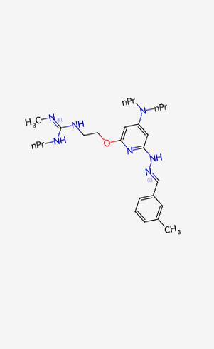 CCCN/C(=N\C)NCCOc1cc(N(CCC)CCC)cc(N/N=C/c2cccc(C)c2)n1